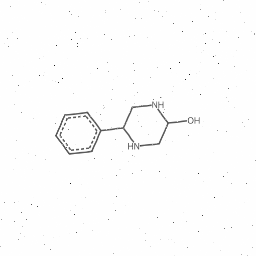 OC1CNC(c2ccccc2)CN1